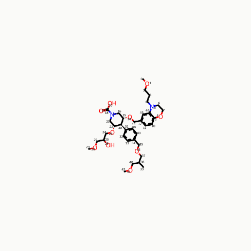 COCCCN1CCOc2ccc(CO[C@H]3CN(C(=O)O)C[C@@H](OCC(O)COC)[C@@H]3c3ccc(COCC(C)COC)cc3)cc21